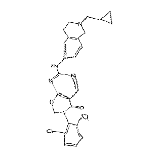 O=C1c2cnc(Nc3ccc4c(c3)CCN(CC3CC3)C4)nc2OCN1c1c(Cl)cccc1Cl